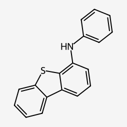 c1ccc(Nc2cccc3c2sc2ccccc23)cc1